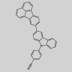 N#Cc1ccc(-n2c3ccccc3c3cc(-c4ccc5c(c4)-c4cccc6cccc-5c46)ccc32)cc1